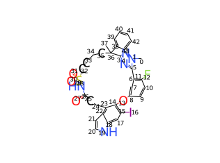 Cn1nc2nc1-c1cc(ccc1F)Oc1c(I)cc3[nH]ccc3c1CCC(=O)NS(=O)(=O)CCCCC2(C)c1ccccc1